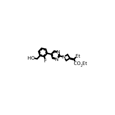 CCOC(=O)C(CC)=C1CN(c2ncc(-c3cccc(CO)c3F)cn2)C1